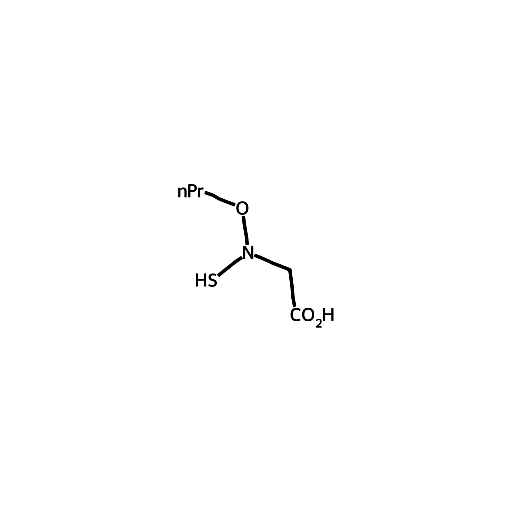 CCCON(S)CC(=O)O